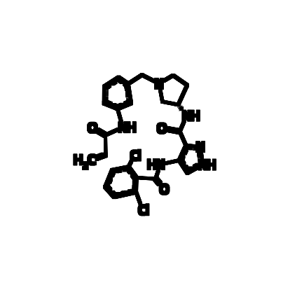 C=CC(=O)Nc1cccc(CN2CC[C@H](NC(=O)c3n[nH]cc3NC(=O)c3c(Cl)cccc3Cl)C2)c1